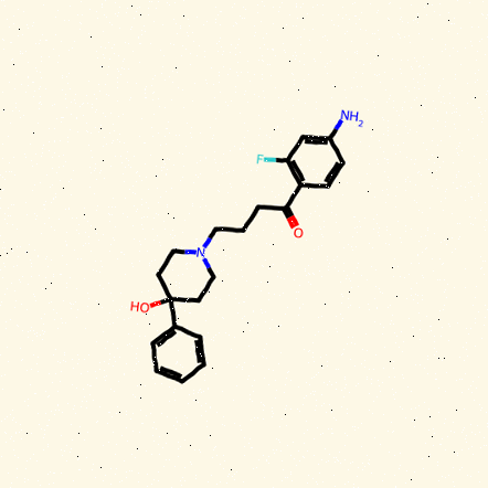 Nc1ccc(C(=O)CCCN2CCC(O)(c3ccccc3)CC2)c(F)c1